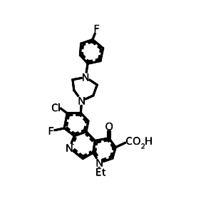 CCn1cc(C(=O)O)c(=O)c2c3cc(N4CCN(c5ccc(F)cc5)CC4)c(Cl)c(F)c3ncc21